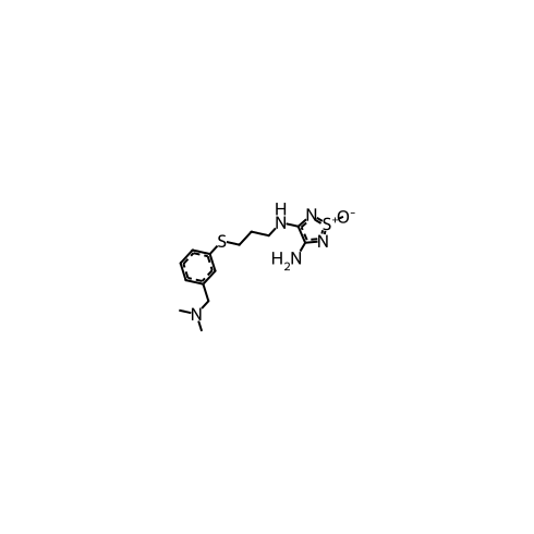 CN(C)Cc1cccc(SCCCNc2n[s+]([O-])nc2N)c1